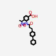 CC(c1ccc(C(=O)O)cc1NC(=O)CCc1ccc(-c2ccccc2)cc1)[N+](=O)[O-]